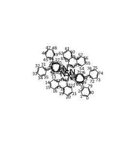 c1ccc(-c2cccc(N3c4c(c5ccccc5c5ccccc45)N(c4cccc(-c5ccccc5)c4)[Si]34N(c3cccc(-c5ccccc5)c3)c3c(c5ccccc5c5ccccc35)N4c3cccc(-c4ccccc4)c3)c2)cc1